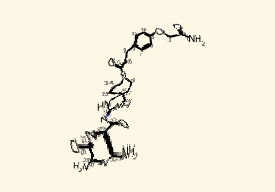 NC(=O)COc1ccc(CCC(=O)N2CCC3(CC2)CN/C(=N\C(=O)c2nc(Cl)c(N)nc2N)N3)cc1